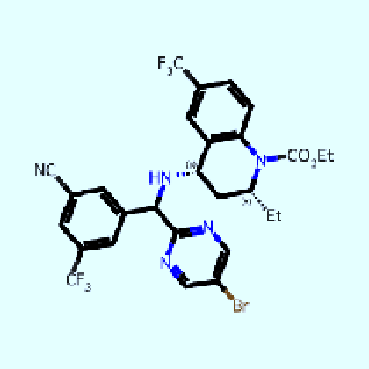 CCOC(=O)N1c2ccc(C(F)(F)F)cc2[C@@H](NC(c2cc(C#N)cc(C(F)(F)F)c2)c2ncc(Br)cn2)C[C@H]1CC